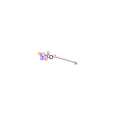 O=C1CCC(N2C(=O)c3ccc(OCCCCCCCCCCCCBr)cc3C2=O)C(=O)N1